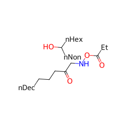 CCCCCCCCCC(O)CCCCCC.CCCCCCCCCCCCCC(=O)CNOC(=O)CC